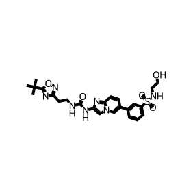 CC(C)(C)c1nc(CCNC(=O)Nc2cn3cc(-c4cccc(S(=O)(=O)NCCO)c4)ccc3n2)no1